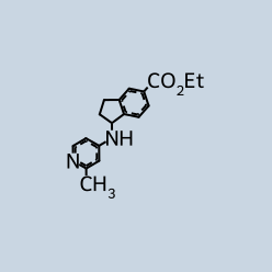 CCOC(=O)c1ccc2c(c1)CCC2Nc1ccnc(C)c1